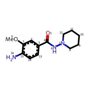 COc1cc(C(=O)NN2CCCCC2)ccc1N